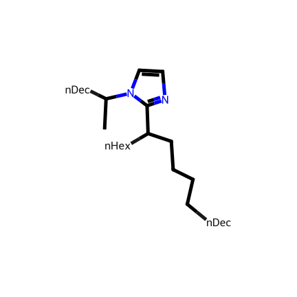 CCCCCCCCCCCCCCC(CCCCCC)c1nccn1C(C)CCCCCCCCCC